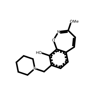 COC1=NOc2c(ccc(CN3CCCCC3)c2O)C=C1